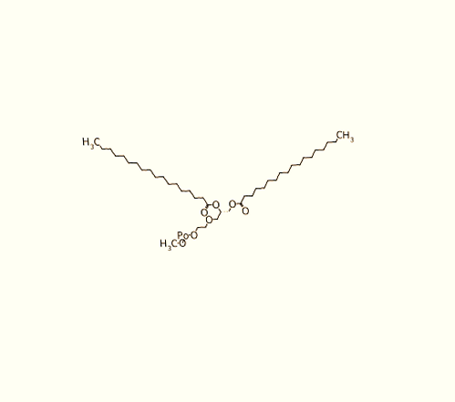 CCCCCCCCCCCCCCCCCC(=O)OC[C@H](COCC[O][Po][O]C)OC(=O)CCCCCCCCCCCCCCCCC